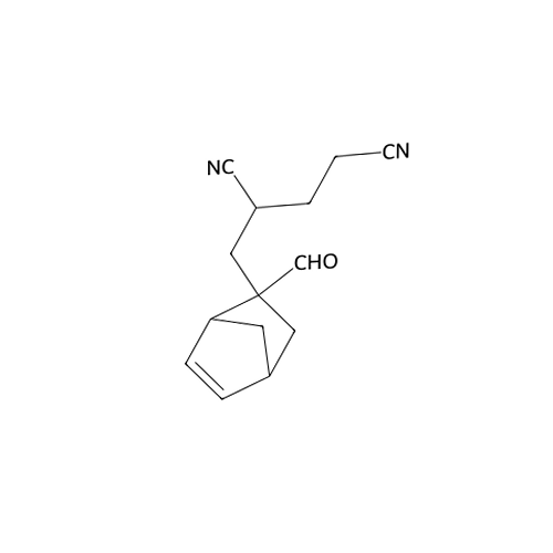 N#CCCC(C#N)CC1(C=O)CC2C=CC1C2